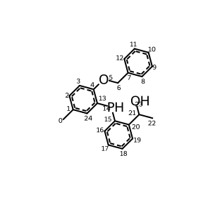 Cc1ccc(OCc2ccccc2)c(Pc2ccccc2C(C)O)c1